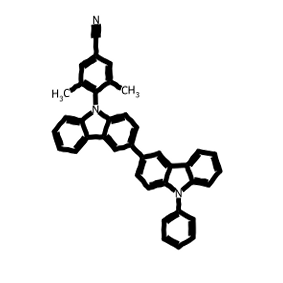 Cc1cc(C#N)cc(C)c1-n1c2ccccc2c2cc(-c3ccc4c(c3)c3ccccc3n4-c3ccccc3)ccc21